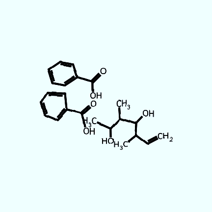 C=CC(C)C(O)C(C)C(C)O.O=C(O)c1ccccc1.O=C(O)c1ccccc1